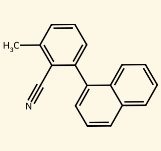 Cc1cccc(-c2cccc3ccccc23)c1C#N